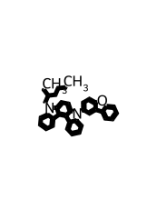 CCCCC(CC)Cn1c2ccccc2c2c3c4ccccc4n(-c4ccc5oc6ccccc6c5c4)c3ccc21